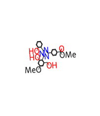 COC(=O)c1ccc(-c2nc(-c3ccccc3O)nc(-c3c(O)cc(OC)cc3CO)n2)cc1